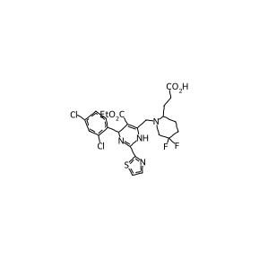 CCOC(=O)C1=C(CN2CC(F)(F)CCC2CCC(=O)O)NC(c2nccs2)=NC1c1ccc(Cl)cc1Cl